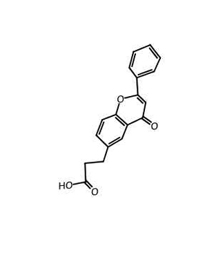 O=C(O)CCc1ccc2oc(-c3ccccc3)cc(=O)c2c1